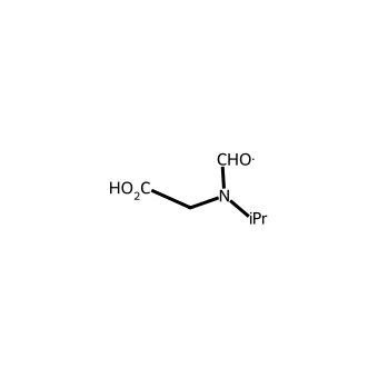 CC(C)N([C]=O)CC(=O)O